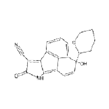 N#CC1=C2C(=C3C=CC(O)(C4CCCCO4)c4cccc2c43)NC1=O